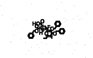 CC[C@H]1O[C@@H](C(F)(F)C[C@@H](NC(=O)OCc2ccccc2)C(=O)O)[C@H](OCc2ccccc2)[C@@H](OCc2ccccc2)[C@H]1C